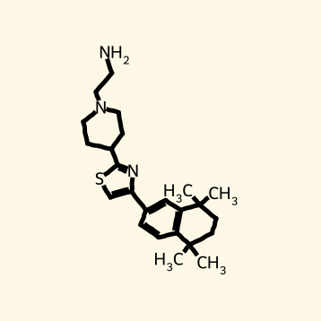 CC1(C)CCC(C)(C)c2cc(-c3csc(C4CCN(CCN)CC4)n3)ccc21